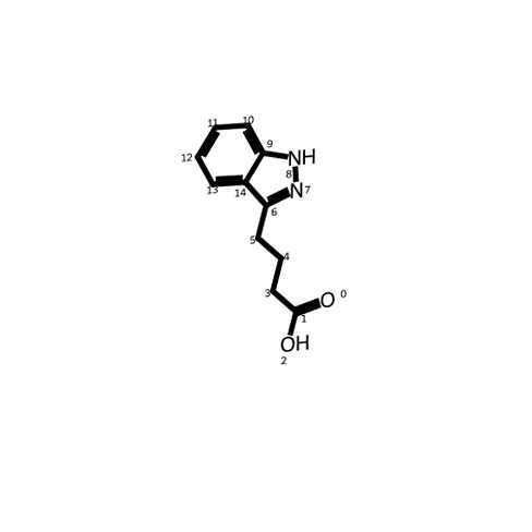 O=C(O)CCCc1n[nH]c2ccccc12